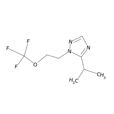 CC(C)c1ncnn1CCOC(F)(F)F